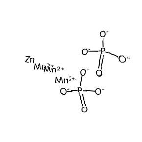 O=P([O-])([O-])[O-].O=P([O-])([O-])[O-].[Mn+2].[Mn+2].[Mn+2].[Zn]